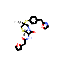 O=C(Cc1ccco1)NC1C(=O)N2CC(Sc3ccc(Cc4ncco4)cc3)(C(=O)O)CS[C@H]12